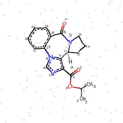 CC(C)OC(=O)c1ncn2c1[C@@H]1CCCN1C(=O)c1ccccc1-2